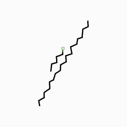 CCCCCCCCCCCCCCCCCCCC.CCCCCCl